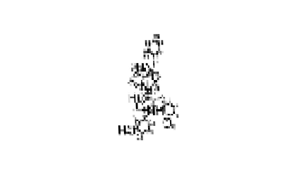 COc1cccc(C[C@H](NC(=O)c2cccc(O)c2C)[C@H](O)C(=O)N2CSC(C)(C)C2C(=O)NCc2ccccc2C)c1